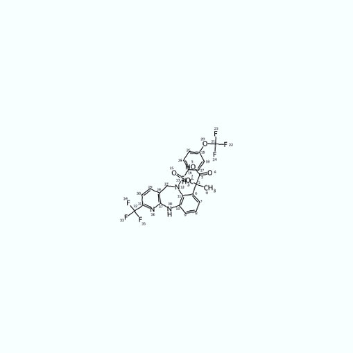 CC(C)(C(=O)O)c1cccc2c1N(S(=O)(=O)c1ccc(OC(F)(F)F)cc1)Cc1ccc(C(F)(F)F)nc1N2